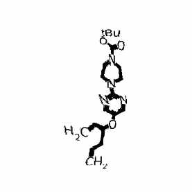 C=CCC(C=C)Oc1cnc(N2CCN(C(=O)OC(C)(C)C)CC2)nc1